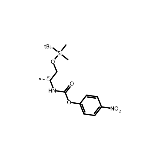 C[C@H](CO[Si](C)(C)C(C)(C)C)NC(=O)Oc1ccc([N+](=O)[O-])cc1